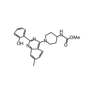 COC(=O)NC1CCN(c2nc(-c3ccccc3O)nc3cc(C)ccc23)CC1